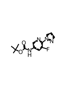 CC(C)(C)OC(=O)Nc1cnc(-n2cccn2)c(F)c1